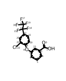 O=C(O)c1cccc(Oc2ccc(C(F)(F)C(F)(F)F)cc2Cl)c1